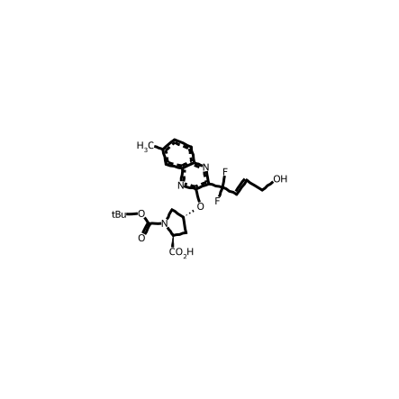 Cc1ccc2nc(C(F)(F)/C=C/CO)c(O[C@@H]3C[C@@H](C(=O)O)N(C(=O)OC(C)(C)C)C3)nc2c1